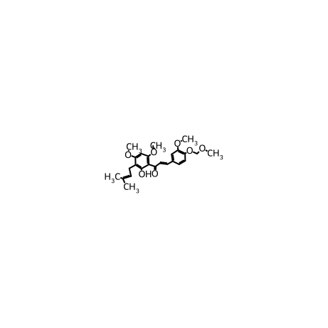 COCOc1ccc(C=CC(=O)c2c(OC)cc(OC)c(CC=C(C)C)c2O)cc1OC